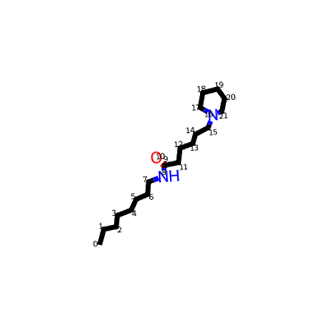 CCCCCCCCNC(=O)CCCCCN1CCCCC1